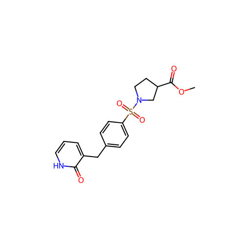 COC(=O)C1CCN(S(=O)(=O)c2ccc(Cc3ccc[nH]c3=O)cc2)C1